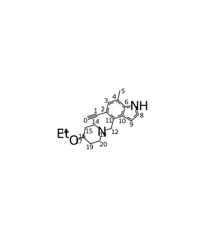 C#Cc1cc(C)c2[nH]ccc2c1CN1CCC(OCC)CC1